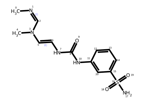 C/N=C\N(C)/C=C/NC(=O)Nc1cccc(S(N)(=O)=O)c1